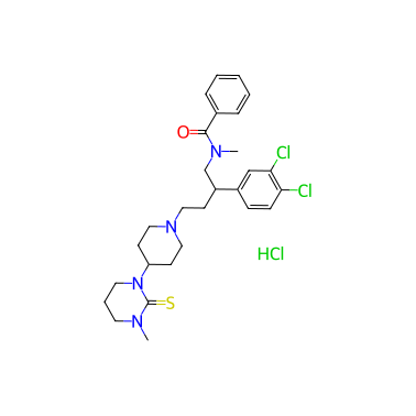 CN(CC(CCN1CCC(N2CCCN(C)C2=S)CC1)c1ccc(Cl)c(Cl)c1)C(=O)c1ccccc1.Cl